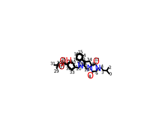 CC(C)CCN1CC(=O)N2Cc3c(c4ccccc4n3Cc3ccc(C(O)OC(C)(C)C)cc3)CC2C1=O